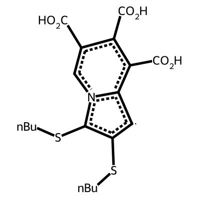 CCCCSc1[c]c2c(C(=O)O)c(C(=O)O)c(C(=O)O)cn2c1SCCCC